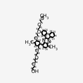 COCCOCCOCCOc1cc(-c2ccc(C)c3nc(-c4ccccc4)c(-c4ccccc4)nc23)c(COCCOCCOCCO)cc1C